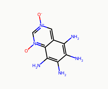 Nc1c(N)c(N)c2c(c[n+]([O-])c[n+]2[O-])c1N